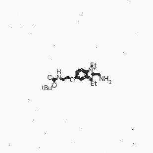 CCn1c(CN)[n+](CC)c2ccc(OCCNC(=O)OC(C)(C)C)cc21